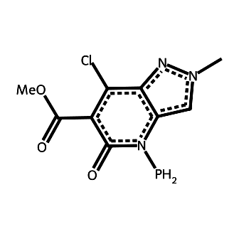 COC(=O)c1c(Cl)c2nn(C)cc2n(P)c1=O